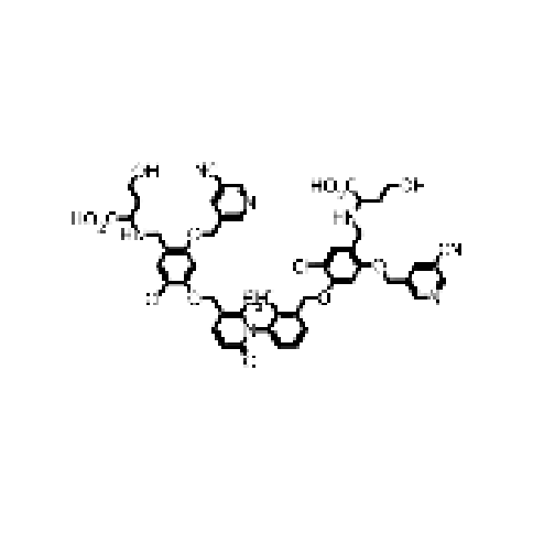 Cc1c(COc2cc(OCc3cncc(C#N)c3)c(CNC(CCO)C(=O)O)cc2Cl)cccc1-n1c(C)c(COc2cc(OCc3cncc(C#N)c3)c(CNC(CCO)C(=O)O)cc2Cl)ccc1=O